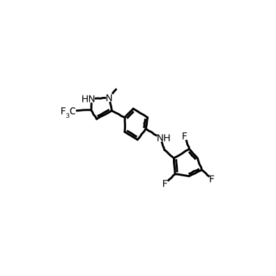 CN1NC(C(F)(F)F)C=C1c1ccc(NCc2c(F)cc(F)cc2F)cc1